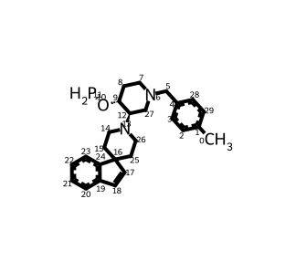 Cc1ccc(CN2CC[C@@H](OP)[C@H](N3CCC4(C=Cc5ccccc54)CC3)C2)cc1